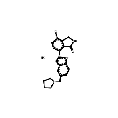 Cl.O=C1NCc2c(Cl)ccc(-c3cc4cc(CN5CCCC5)ccc4[nH]3)c21